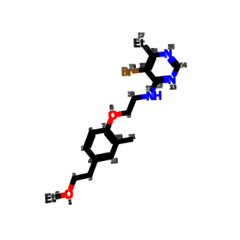 CCOCCc1ccc(OCCNc2ncnc(CC)c2Br)c(C)c1